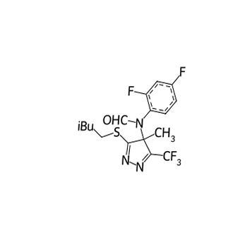 CCC(C)CSC1=NN=C(C(F)(F)F)C1(C)N(C=O)c1ccc(F)cc1F